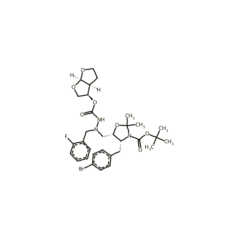 CC(C)(C)OC(=O)N1[C@H](Cc2ccc(Br)cc2)[C@H](CN(Cc2ccccc2F)NC(=O)O[C@H]2CO[C@H]3OCC[C@H]32)OC1(C)C